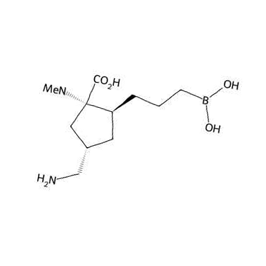 CN[C@@]1(C(=O)O)C[C@@H](CN)C[C@@H]1CCCB(O)O